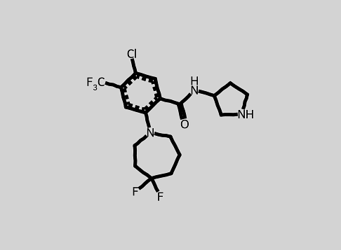 O=C(NC1CCNC1)c1cc(Cl)c(C(F)(F)F)cc1N1CCCC(F)(F)CC1